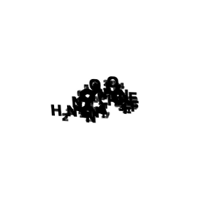 CN(C(=O)c1ccc2nc(N)c3cnn(C4CC4)c3c2c1)C1COCc2nc(C(F)(F)F)ccc21